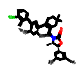 COc1cc(C(F)(F)F)c(-c2cccc(Cl)c2C)cc1C1=C(CN2C(=O)O[C@H](c3cc(C(F)(F)F)cc(C(F)(F)F)c3)[C@@H]2C)CC(C)(C)CC1